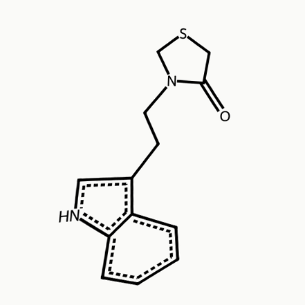 O=C1CSCN1CCc1c[nH]c2ccccc12